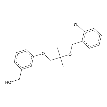 CC(C)(COc1cccc(CO)c1)OCc1ccccc1Cl